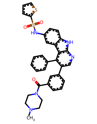 CN1CCN(C(=O)c2cccc(-c3cnc4[nH]c5ccc(NS(=O)(=O)c6cccs6)cc5c4c3-c3ccccc3)c2)CC1